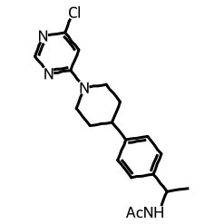 CC(=O)NC(C)c1ccc(C2CCN(c3cc(Cl)ncn3)CC2)cc1